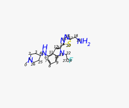 CN1CCC(Nc2cccc3c2cc(-c2nnc(CN)s2)n3CCF)CC1